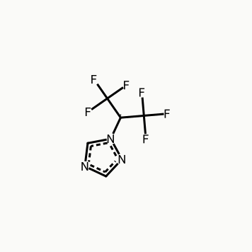 FC(F)(F)[C](n1cncn1)C(F)(F)F